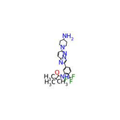 CC(C)(C)C(=O)Nc1cc(-c2cn3nc(N4CCC(N)CC4)ccc3n2)ccc1C(F)(F)F